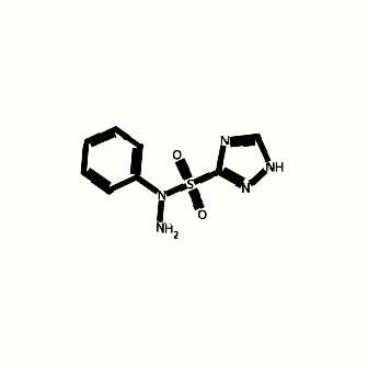 NN(c1ccccc1)S(=O)(=O)c1nc[nH]n1